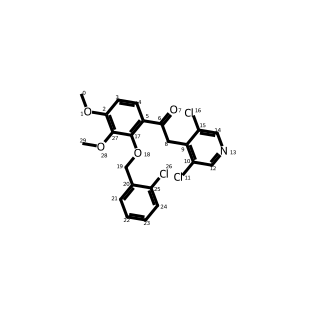 COc1ccc(C(=O)Cc2c(Cl)cncc2Cl)c(OCc2ccccc2Cl)c1OC